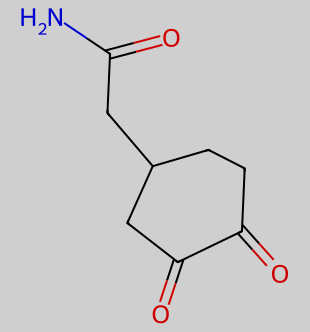 NC(=O)CC1CCC(=O)C(=O)C1